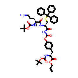 C=CCOC(=O)[C@H](Cc1ccc(OC(=O)NC(=O)[C@H](CSC(c2ccccc2)(c2ccccc2)c2ccccc2)NC(=O)[C@H](CCCN)NC(=O)OC(C)(C)C)cc1)NC(=O)OC(C)(C)C